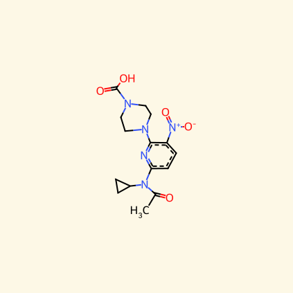 CC(=O)N(c1ccc([N+](=O)[O-])c(N2CCN(C(=O)O)CC2)n1)C1CC1